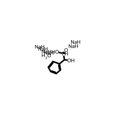 O.O=[PH](O)C(O)c1ccccc1.[NaH].[NaH].[NaH].[NaH].[NaH].[NaH]